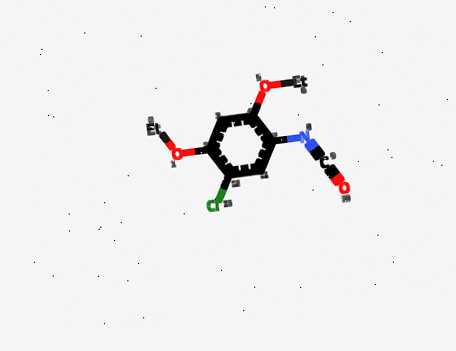 CCOc1cc(OCC)c(N=C=O)cc1Cl